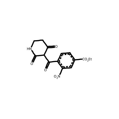 CCOC(=O)c1ccc(C(=O)C2C(=O)CCNC2=O)c([N+](=O)[O-])c1